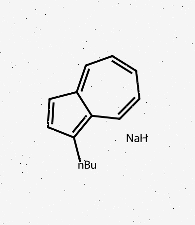 CCCCc1ccc2cccccc1-2.[NaH]